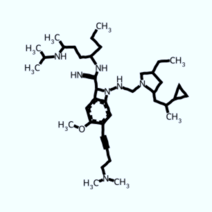 CCCC(CCC(C)NC(C)C)NC(=N)C1c2cc(OC)c(C#CCCN(C)C)cc2N1NCN1CC(CC)CC1CC(C)C1CC1